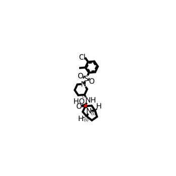 Cc1c(Cl)cccc1S(=O)(=O)N1CCC[C@H](NC(=O)N2[C@H]3CC[C@H]2CC(O)C3)C1